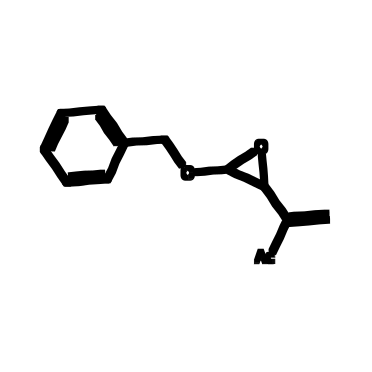 C=C(C(C)=O)C1OC1OCc1ccccc1